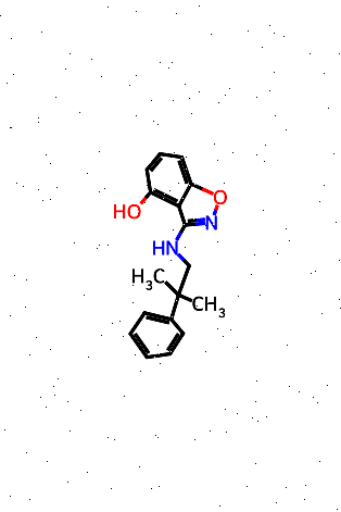 CC(C)(CNc1noc2cccc(O)c12)c1ccccc1